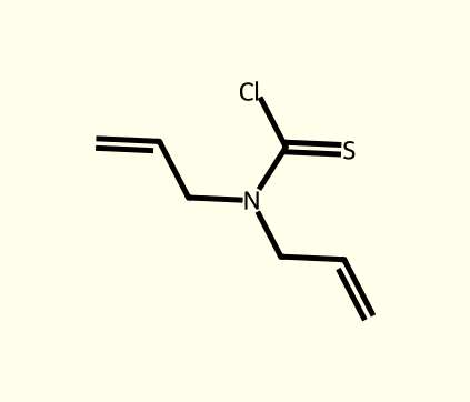 C=CCN(CC=C)C(=S)Cl